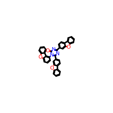 O=c1nc(-c2ccc3c(c2)oc2ccccc23)nc(-c2ccc3c(c2)oc2ccccc23)n1-c1cccc2oc3ccccc3c12